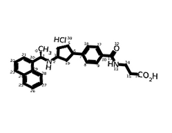 C[C@@H](NC1CCC(c2ccc(C(=O)NCCC(=O)O)cc2)C1)c1cccc2ccccc12.Cl